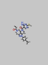 C=CC(=O)N1CCc2nn(-c3ccc(C4CC4)cc3)c3c2C(C1)N(C(=O)c1cnc(SC)nc1N)CC3